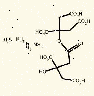 N.N.N.N.O=C(O)CC(O)(CC(=O)OC(CC(=O)O)(CC(=O)O)C(=O)O)C(=O)O